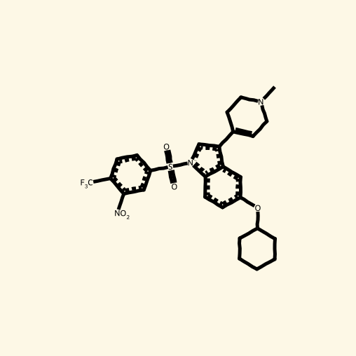 CN1CC=C(c2cn(S(=O)(=O)c3ccc(C(F)(F)F)c([N+](=O)[O-])c3)c3ccc(OC4CCCCC4)cc23)CC1